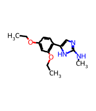 CCOc1ccc(-c2cnc(NC)[nH]2)c(OCC)c1